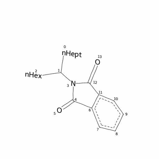 CCCCCCCC(CCCCCC)N1C(=O)c2ccccc2C1=O